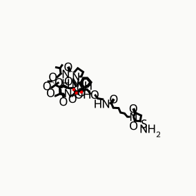 CC[C@@]1(OC(=O)[C@@H](NC(=O)[C@@H]2CCCN2C(=O)[C@H](CC(=O)O)NC(=O)CCOCCNC(=O)CCCCCN2C(=O)CC(SN)C2=O)C(C)C)C(=O)OCc2c1cc1n(c2=O)Cc2cc3ccccc3nc2-1